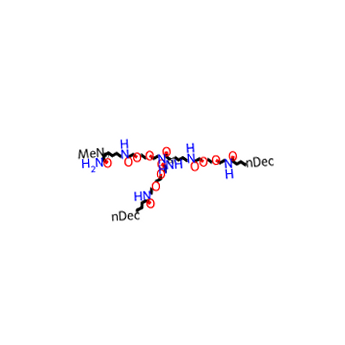 CCCCCCCCCCCCCC(=O)NCCOCCOCC(=O)NCCCC[C@H](NC(=O)COCCOCCNC(=O)CCCCCCCCCCCCC)C(=O)NCCOCCOCC(=O)NCCCC[C@H](NC)C(N)=O